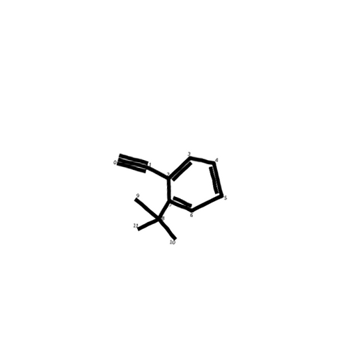 C#Cc1ccccc1C(C)(C)C